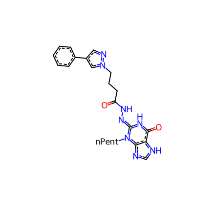 CCCCCn1/c(=N/NC(=O)CCCn2cc(-c3ccccc3)cn2)[nH]c(=O)c2[nH]cnc21